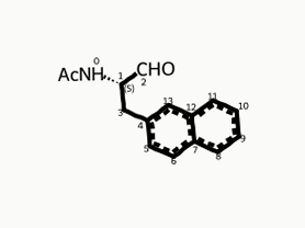 CC(=O)N[C@H](C=O)Cc1ccc2ccccc2c1